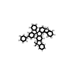 CC1(C)c2ccccc2-c2cc3c(cc21)C(c1ccccc1)(c1ccc(-c2ccccc2)cc1)c1ccc2sc4ccccc4c2c1-3